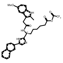 COc1ccc2[nH]c(C)c(CC(=O)N[C@@H](CCCCCC(=O)OC(=O)C(F)(F)F)c3ncc(-c4ccc5ccccc5c4)[nH]3)c2c1